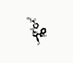 CC(C)(C)OC(=O)N1CCCC(Nc2ncc(C#CSI)c(-c3c[nH]c4ccccc34)n2)C1